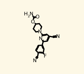 N#Cc1cc(-c2ccc(C#N)c(F)c2)nc(N2CCC(OC(N)=O)CC2)c1